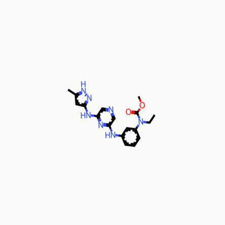 CCN(C(=O)OC)c1cccc(Nc2cncc(Nc3cc(C)[nH]n3)n2)c1